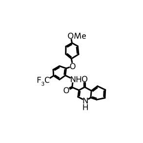 COc1ccc(Oc2ccc(C(F)(F)F)cc2NC(=O)c2c[nH]c3ccccc3c2=O)cc1